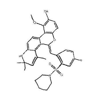 COc1c(O)ccc2c1-c1ccc3c(c1/C(=C/c1ccc(F)cc1S(=O)(=O)N1CCCCC1)O2)C(C)=CC(C)(C)N3